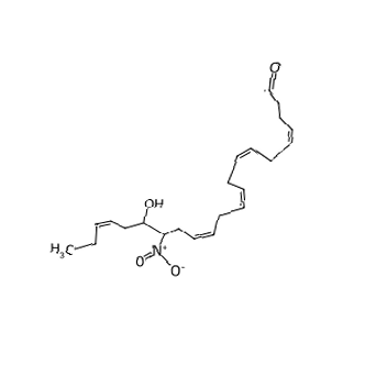 CC/C=C\CC(O)C(C/C=C\C/C=C\C/C=C\C/C=C\CC[C]=O)[N+](=O)[O-]